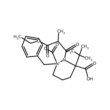 CCOC(=O)C(C)C(=O)N1C(C(=O)O)(C(C)(C)C)CCC[N+]1(Cc1ccccc1)C(=O)[O-]